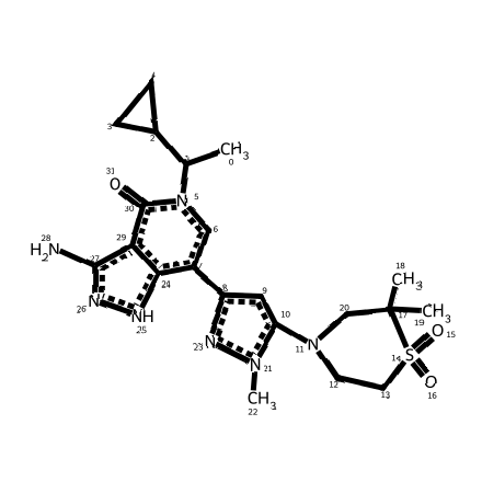 CC(C1CC1)n1cc(-c2cc(N3CCS(=O)(=O)C(C)(C)C3)n(C)n2)c2[nH]nc(N)c2c1=O